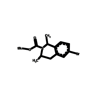 CC1Cc2cc(Br)ccc2C(C)N1C(=O)OC(C)(C)C